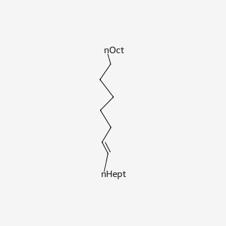 [CH2]CCCCCCCCCCCCC=CCCCCCCC